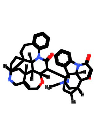 CCC1C[C@]23C[C@@H]1[C@@H]1C=CC(=O)N4c5ccccc5[C@@]2(C[C@H]([C@@H]2C(=O)N5c6ccccc6CC[C@@]67CCN8CC9=CCO[C@@H]2[C@@H]([C@H]56)[C@H]9C[C@H]87)N3C)[C@H]14